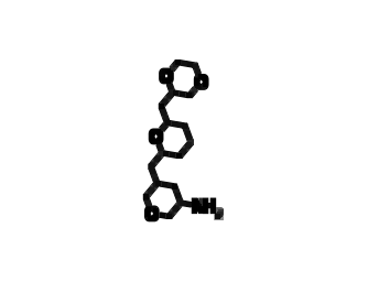 NC1COCC(CC2CCCC(CC3COCCO3)O2)C1